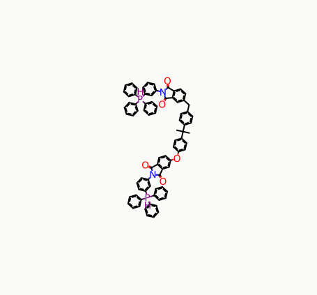 CC(C)(c1ccc(Cc2ccc3c(c2)C(=O)N(c2cccc([PH](c4ccccc4)(c4ccccc4)c4ccccc4)c2)C3=O)cc1)c1ccc(Oc2ccc3c(c2)C(=O)N(c2cccc([PH](c4ccccc4)(c4ccccc4)c4ccccc4)c2)C3=O)cc1